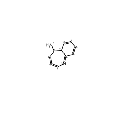 CC1C=C=CN=C2C=CC=CC21